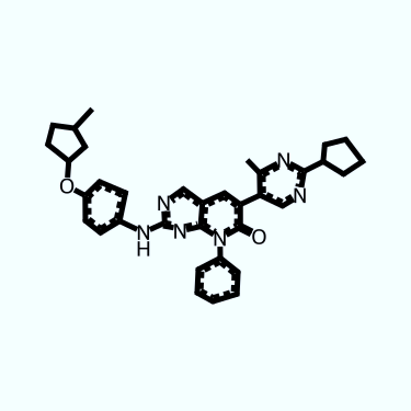 Cc1nc(C2CCCC2)ncc1-c1cc2cnc(Nc3ccc(OC4CCC(C)C4)cc3)nc2n(-c2ccccc2)c1=O